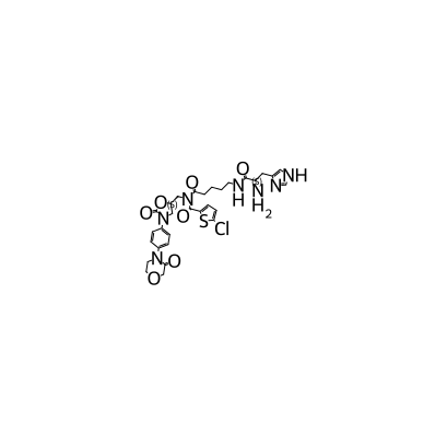 N[C@@H](Cc1c[nH]cn1)C(=O)NCCCCC(=O)N(C[C@H]1CN(c2ccc(N3CCOCC3=O)cc2)C(=O)O1)C(=O)c1ccc(Cl)s1